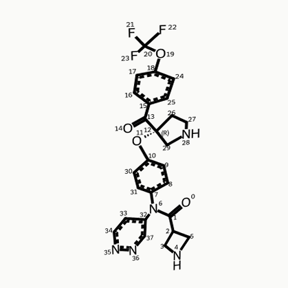 O=C(C1CNC1)N(c1ccc(O[C@]2(C(=O)c3ccc(OC(F)(F)F)cc3)CCNC2)cc1)c1ccnnc1